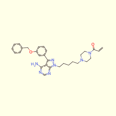 C=CC(=O)N1CCN(CCCCCn2nc(-c3cccc(OCc4ccccc4)c3)c3c(N)ncnc32)CC1